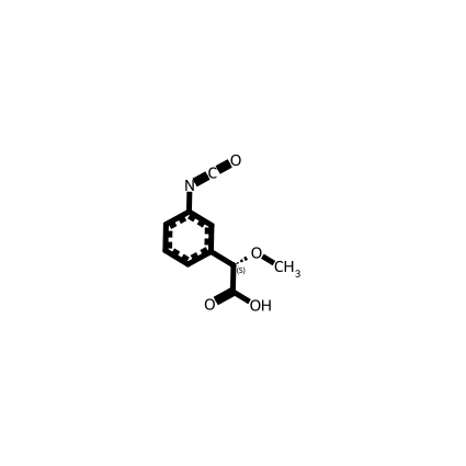 CO[C@H](C(=O)O)c1cccc(N=C=O)c1